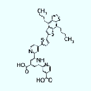 CCCCc1c2ccsc2c(CCCC)c2sc(-c3ccc(-c4ccnc(C5=CC(C(=O)O)=CC(c6cc(C(=O)O)ccn6)N5)c4)s3)cc12